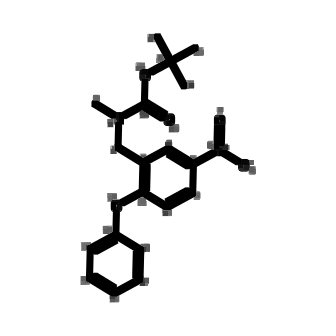 CN(Cc1cc([N+](=O)[O-])ccc1Oc1ccccc1)C(=O)OC(C)(C)C